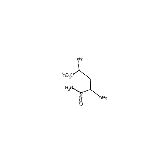 CCCC(CC(CCC)C(=O)O)C(N)=O